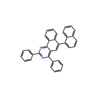 c1ccc(-c2nc(-c3ccccc3)c3cc(-c4cccc5ccccc45)c4ccccc4c3n2)cc1